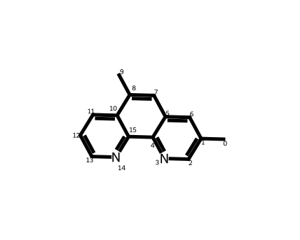 Cc1cnc2c(c1)cc(C)c1cccnc12